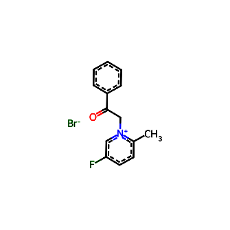 Cc1ccc(F)c[n+]1CC(=O)c1ccccc1.[Br-]